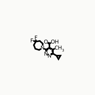 Cc1c(C2CC2)nnc(N2CCCC(F)(F)CC2)c1C(=O)O